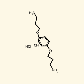 Cl.Cl.NCCCOc1ccc(OCCCN)cc1